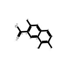 Cc1cc2ccc(C)c(C)c2cc1C(=O)Cl